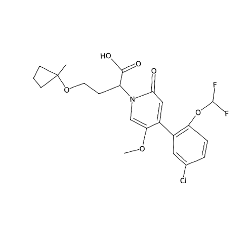 COc1cn(C(CCOC2(C)CCC2)C(=O)O)c(=O)cc1-c1cc(Cl)ccc1OC(F)F